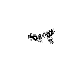 CN(CCNS(=O)(=O)c1ccc(C(F)(F)F)cc1)c1cc(-n2ccnc2)c2ccc(Cl)cc2n1